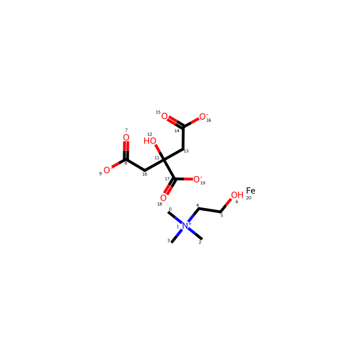 C[N+](C)(C)CCO.O=C([O-])CC(O)(CC(=O)[O-])C(=O)[O-].[Fe]